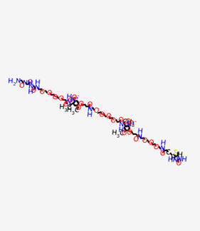 COc1cc(C(C)NC(=O)CCOCCOCCOCCOCCNC(=O)CCCOc2cc([N+](=O)[O-])c(C(C)NC(=O)CCOCCOCCOCCOCCNC(=O)CNC(=O)CNC(=O)CN)cc2OC)c([N+](=O)[O-])cc1OCCCC(=O)NCCOCCOCCOCCNC(=O)CCCC[C@@H]1SC[C@@H]2NC(=O)N[C@@H]21